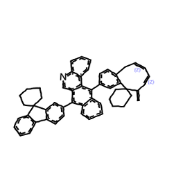 C=C1/C=C\C=C/Cc2ccc(-c3c4ccccc4c(-c4ccc5c(c4)C4(CCCCC4)c4ccccc4-5)c4cnc5ccccc5c34)cc2C12CCCCC2